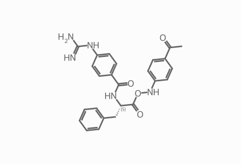 CC(=O)c1ccc(NOC(=O)[C@H](Cc2ccccc2)NC(=O)c2ccc(NC(=N)N)cc2)cc1